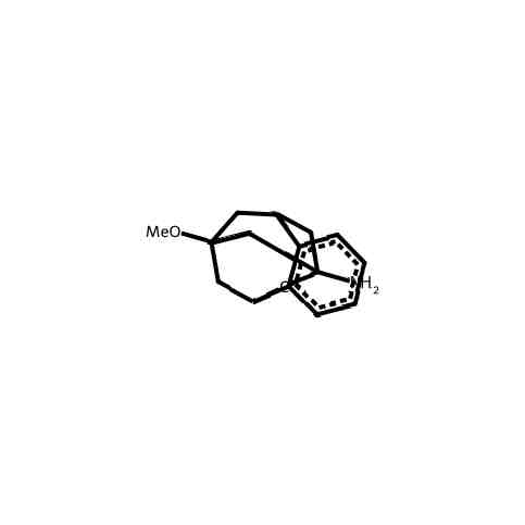 COC12CC3CC(N)(CC(C1)c1ccccc13)C2